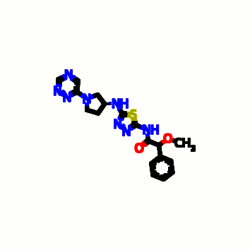 COC(C(=O)Nc1nnc(N[C@@H]2CCN(c3cncnn3)C2)s1)c1ccccc1